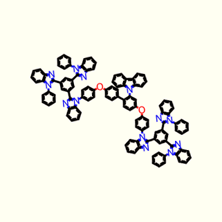 c1ccc(-n2c(-c3cc(-c4nc5ccccc5n4-c4ccccc4)cc(-c4nc5ccccc5n4-c4ccc(Oc5ccc(-c6ccc(Oc7ccc(-n8c(-c9cc(-c%10nc%11ccccc%11n%10-c%10ccccc%10)cc(-c%10nc%11ccccc%11n%10-c%10ccccc%10)c9)nc9ccccc98)cc7)cc6-n6c7ccccc7c7ccccc76)cc5)cc4)c3)nc3ccccc32)cc1